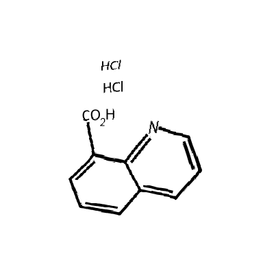 Cl.Cl.O=C(O)c1cccc2cccnc12